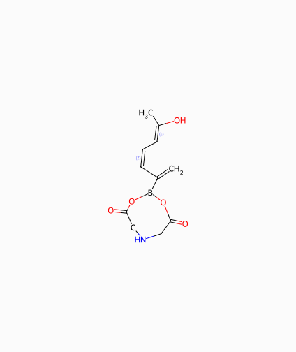 C=C(/C=C\C=C(/C)O)B1OC(=O)CNCC(=O)O1